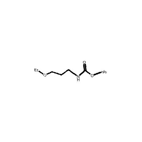 CCCOC(=O)NCCCOCC